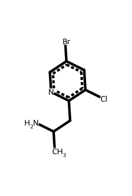 CC(N)Cc1ncc(Br)cc1Cl